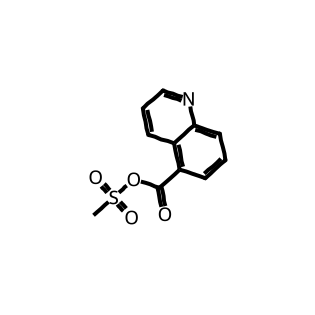 CS(=O)(=O)OC(=O)c1cccc2ncccc12